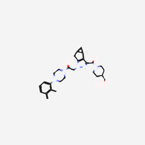 Cc1cccc(N2CCN(C(=O)Cn3nc(C(=O)N4CCC(CO)CC4)c4c3C[C@H]3C[C@@H]43)CC2)c1C